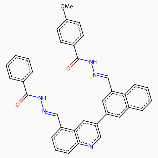 COc1ccc(C(=O)N/N=C/c2cc(-c3cnc4cccc(/C=N/NC(=O)c5ccccc5)c4c3)cc3ccccc23)cc1